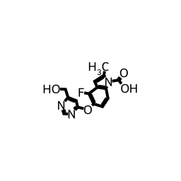 Cc1cc2c(F)c(Oc3cc(CO)ncn3)ccc2n1C(=O)O